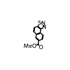 COC(=O)c1ccc2c(ccc3snnc32)c1